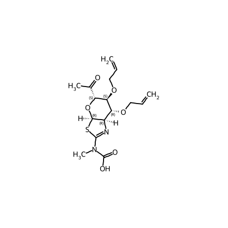 C=CCO[C@@H]1[C@H]2N=C(N(C)C(=O)O)S[C@H]2O[C@H](C(C)=O)[C@H]1OCC=C